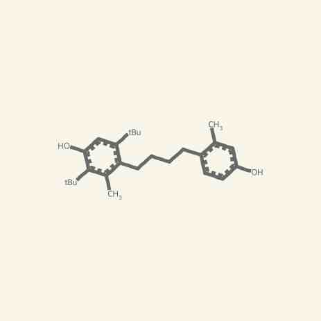 Cc1cc(O)ccc1CCCCc1c(C(C)(C)C)cc(O)c(C(C)(C)C)c1C